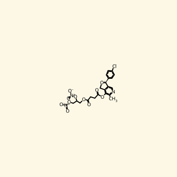 Cc1ncc2c(c1OC(=O)CCC(=O)OCC(CO[N+](=O)[O-])O[N+](=O)[O-])CO[C@H]2c1ccc(Cl)cc1